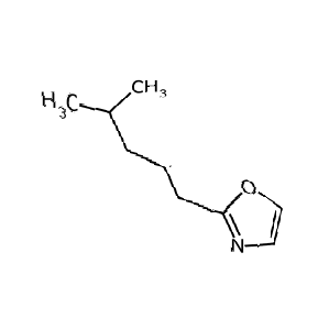 CC(C)C[CH]Cc1ncco1